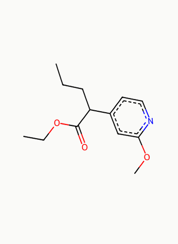 CCCC(C(=O)OCC)c1ccnc(OC)c1